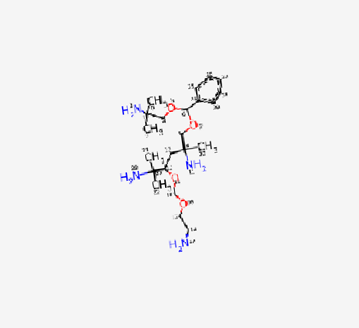 CC(C)(N)COC(OCC(C)(N)CC(OCOCCN)C(C)(C)N)c1ccccc1